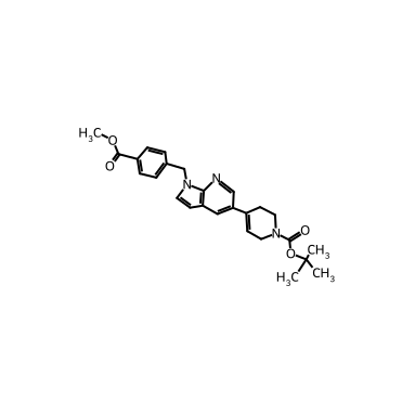 COC(=O)c1ccc(Cn2ccc3cc(C4=CCN(C(=O)OC(C)(C)C)CC4)cnc32)cc1